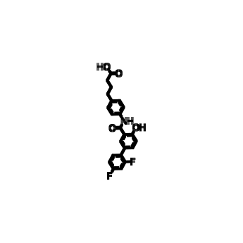 O=C(O)CCCc1ccc(NC(=O)c2cc(-c3ccc(F)cc3F)ccc2O)cc1